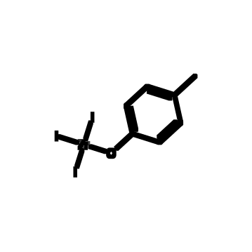 Cc1ccc([O][Zr]([I])([I])[I])cc1